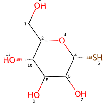 OCC1O[C@H](S)C(O)C(O)[C@@H]1O